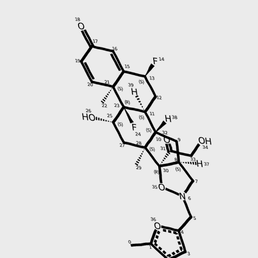 Cc1ccc(CN2C[C@@H]3C[C@H]4[C@@H]5C[C@H](F)C6=CC(=O)C=C[C@]6(C)[C@@]5(F)[C@@H](O)C[C@]4(C)[C@]3(C(=O)CO)O2)o1